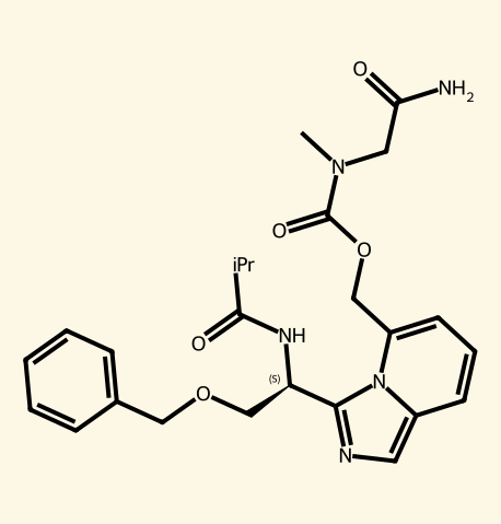 CC(C)C(=O)N[C@H](COCc1ccccc1)c1ncc2cccc(COC(=O)N(C)CC(N)=O)n12